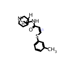 Cc1cccc(S/C=C\C(=O)N[C@H]2CN3CCC2CC3)c1